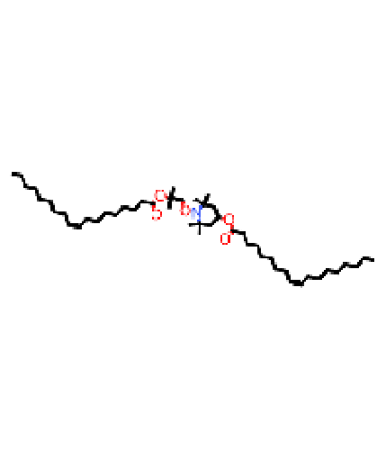 CCCCCCCC/C=C\CCCCCCCC(=O)OC1CC(C)(C)N(OCC(C)(C)OC(=O)CCCCCCC/C=C\CCCCCCCC)C(C)(C)C1